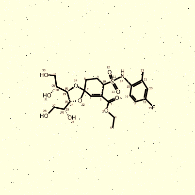 CCOC(=O)C1=CC2(CCC1S(=O)(=O)Nc1ccc(F)cc1C)O[C@H]([C@H](O)CO)[C@@H]([C@H](O)CO)O2